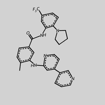 Cc1ccc(C(=O)Nc2cc(C(F)(F)F)ccc2N2CCCC2)cc1Nc1cc(-c2cccnc2)ccn1